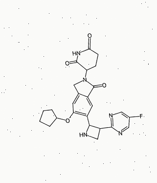 O=C1CCC(N2Cc3cc(OC4CCCC4)c(C4NCC4c4ncc(F)cn4)cc3C2=O)C(=O)N1